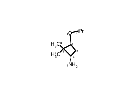 CC(C)O[C@H]1C[C@H](N)C1(C)C